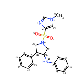 Cn1cnc(S(=O)(=O)N2CC(Nc3ccccc3)C(c3ccccc3)C2)c1